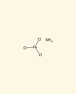 [Cl][Fe]([Cl])[Cl].[SiH4]